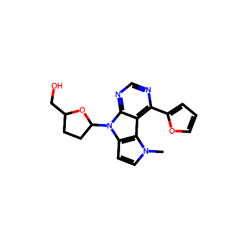 Cn1ccc2c1c1c(-c3ccco3)ncnc1n2C1CCC(CO)O1